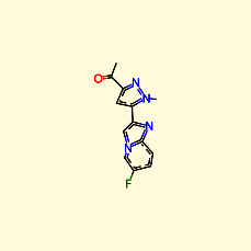 CC(=O)c1cc(-c2cn3cc(F)ccc3n2)n(C)n1